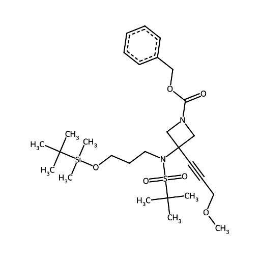 COCC#CC1(N(CCCO[Si](C)(C)C(C)(C)C)S(=O)(=O)C(C)(C)C)CN(C(=O)OCc2ccccc2)C1